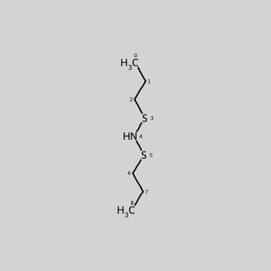 CCCSNSCCC